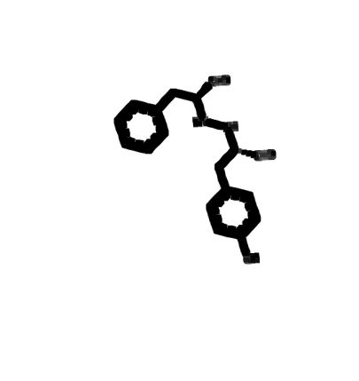 O=C[C@H](Cc1ccccc1)NN[C@H](C=O)Cc1ccc(O)cc1